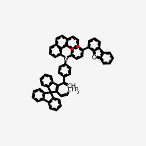 C=C(C1=C(/C=C\C)C2(c3ccccc31)c1ccccc1-c1ccccc12)c1ccc(N(c2ccc(-c3cccc4c3oc3ccccc34)cc2)c2cccc3ccc4ccccc4c23)cc1